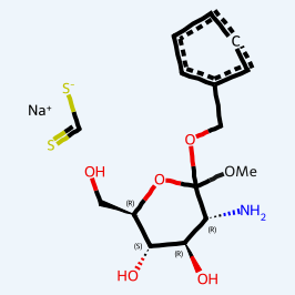 COC1(OCc2ccccc2)O[C@H](CO)[C@@H](O)[C@H](O)[C@H]1N.S=C[S-].[Na+]